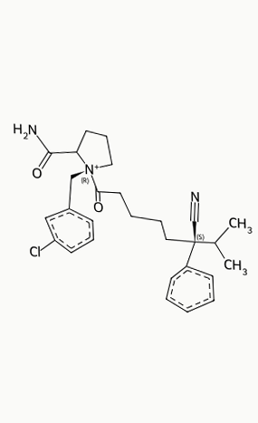 CC(C)[C@@](C#N)(CCCCC(=O)[N@@+]1(Cc2cccc(Cl)c2)CCCC1C(N)=O)c1ccccc1